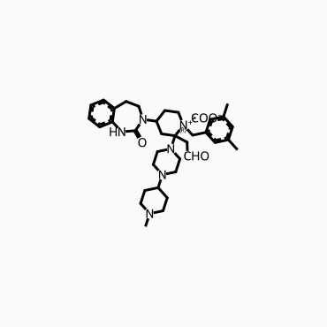 Cc1cc(C)cc(C[N@+]2(C(=O)[O-])CCC(N3CCc4ccccc4NC3=O)CC2(CC=O)N2CCN(C3CCN(C)CC3)CC2)c1